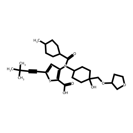 CC1CCC(C(=O)N(c2cc(C#CC(C)(C)C)sc2C(=O)O)C2CCC(O)(COC3CCOC3)CC2)CC1